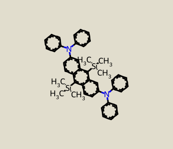 C[Si](C)(C)c1c2ccc(N(c3ccccc3)c3ccccc3)cc2c([Si](C)(C)C)c2cc(N(c3ccccc3)c3ccccc3)ccc12